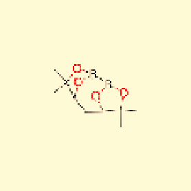 CC1(C)OB2OC1CC1OB2OC1(C)C